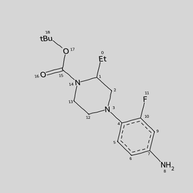 CCC1CN(c2ccc(N)cc2F)CCN1C(=O)OC(C)(C)C